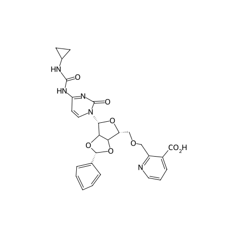 O=C(Nc1ccn([C@@H]2O[C@H](COCc3ncccc3C(=O)O)C3O[C@H](c4ccccc4)OC32)c(=O)n1)NC1CC1